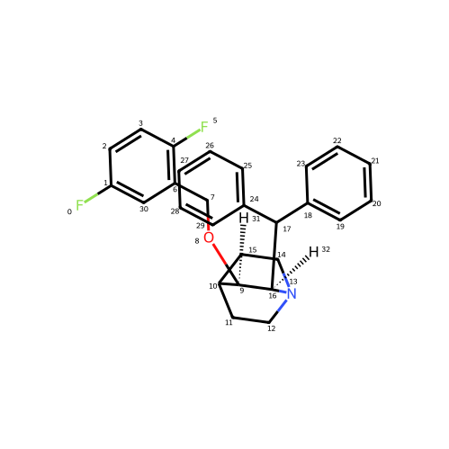 Fc1ccc(F)c(CO[C@@H]2C3CCN(CC3)[C@@H]2C(c2ccccc2)c2ccccc2)c1